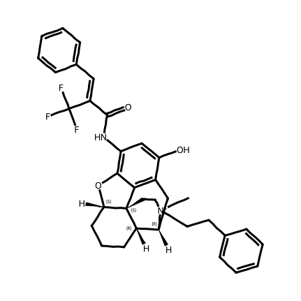 C[N+]1(CCc2ccccc2)CC[C@]23c4c5c(O)cc(NC(=O)C(=Cc6ccccc6)C(F)(F)F)c4O[C@H]2CCC[C@H]3[C@H]1C5